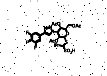 CC(=O)OC[C@H]1O[C@@H](SC(C(=O)O)C(C)C)[C@H](OC(C)=O)[C@@H](n2cc(-c3cc(F)c(F)c(F)c3)nn2)[C@H]1OC(C)=O